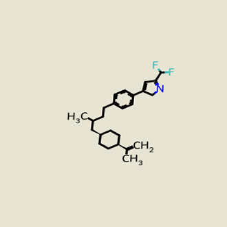 C=C(C)[C@H]1CC[C@@H](CC(C)CCc2ccc(C3=CC(C(F)F)=NC3)cc2)CC1